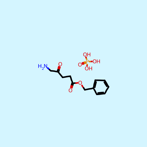 NCC(=O)CCC(=O)OCc1ccccc1.O=P(O)(O)O